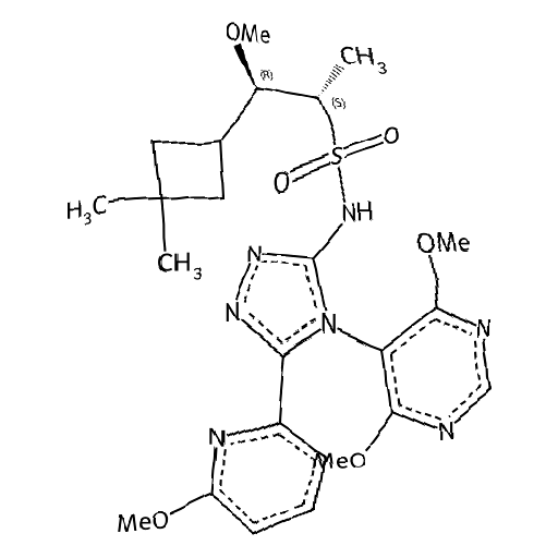 COc1cccc(-c2nnc(NS(=O)(=O)[C@@H](C)[C@H](OC)C3CC(C)(C)C3)n2-c2c(OC)ncnc2OC)n1